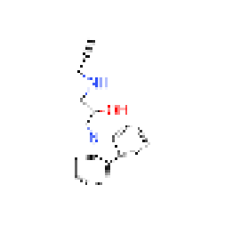 C#CCNCC(O)Cn1c2ccccc2c2ccccc21